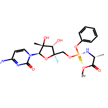 CC(C)OC(=O)[C@@H](C)N[P@](=S)(OC[C@@]1(F)O[C@@H](n2ccc(N)nc2=O)[C@](C)(O)[C@@H]1O)Oc1ccccc1